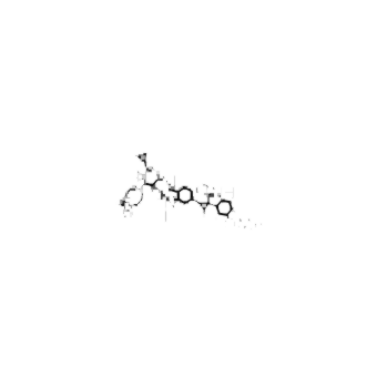 COc1ccc2c(c1)C1(CC1c1ccc3c(Nc4nc(C5CC5)nc(N5CCS(=O)(=O)CC5)c4Cl)n[nH]c3c1)C(=O)N2